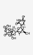 C#CC1(F)C2C[C@@]2([C@H](C)OP(=O)(O)OP(=O)(O)OP(=O)(O)O)O[C@H]1n1cnc(=O)[nH]c1=O